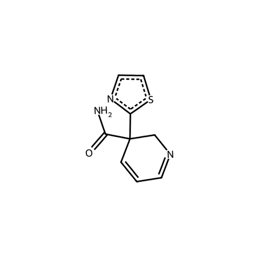 NC(=O)C1(c2nccs2)C=CC=NC1